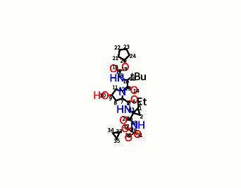 CCC1CC1(NC(=O)C1CC(O)CN1C(=O)C(NC(=O)OC1CCCC1)C(C)(C)C)C(=O)NS(=O)(=O)OC1CC1